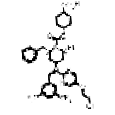 CC[C@@H]1CC(N(Cc2cc(C(F)(F)F)cc(C(F)(F)F)c2)c2ncc(OCCO)cn2)C[C@H](Cc2ccccc2)N1C(=O)O[C@H]1CC[C@H](C(=O)O)CC1